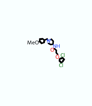 COc1ccc(CN2CCC(NC(=O)CCCOc3cc(Cl)ccc3Cl)CC2)cc1